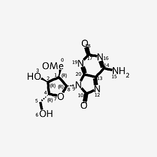 CO[C@@H]1[C@H](O)[C@@H](CO)O[C@H]1N1C(=O)N=C2C(N)=NC(=O)N=C21